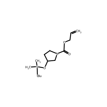 C=CCOC(=O)N1[CH]CC(O[Si](C)(C)C(C)(C)C)C1